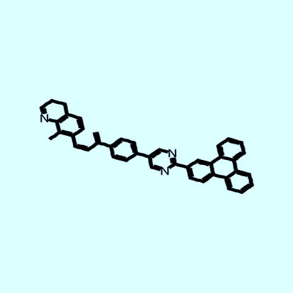 C=C(/C=C\c1ccc2c(c1C)N=CCC2)c1ccc(-c2cnc(-c3ccc4c5ccccc5c5ccccc5c4c3)nc2)cc1